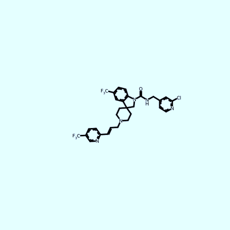 O=C(NCc1ccnc(Cl)c1)N1CC2(CCN(CC=Cc3ccc(C(F)(F)F)cn3)CC2)c2cc(C(F)(F)F)ccc21